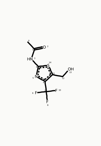 CC(=O)Nc1nc(C(F)(F)F)c(CO)s1